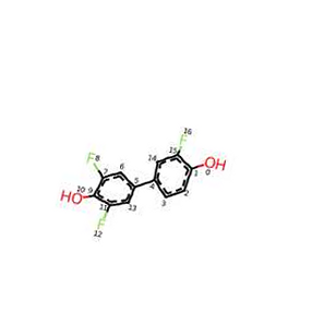 Oc1ccc(-c2cc(F)c(O)c(F)c2)cc1F